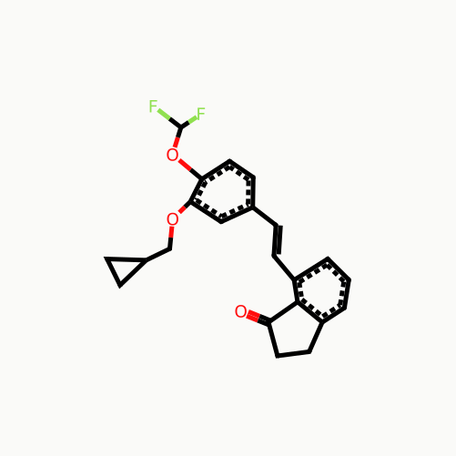 O=C1CCc2cccc(C=Cc3ccc(OC(F)F)c(OCC4CC4)c3)c21